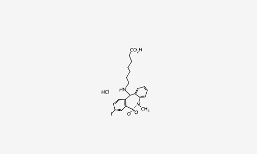 CN1c2ccccc2C(NCCCCCCC(=O)O)c2ccc(I)cc2S1(=O)=O.Cl